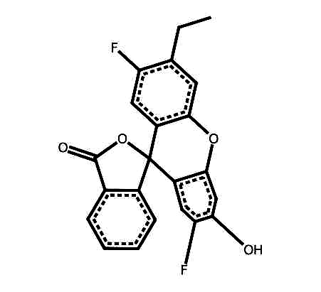 CCc1cc2c(cc1F)C1(OC(=O)c3ccccc31)c1cc(F)c(O)cc1O2